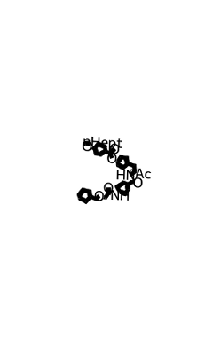 CCCCCCCOc1ccc(C(=O)Oc2ccc(C[C@@H](NC(=O)c3ccc(NC(=O)COCc4ccccc4)cc3)C(C)=O)cc2)cc1